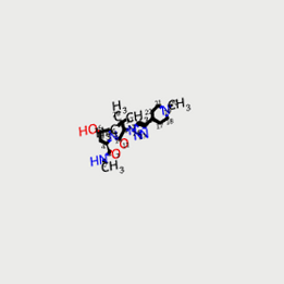 CNC(=O)[C@H]1CC(O)CN1C(=O)C(n1cc(C2CCN(C)CC2)nn1)C(C)(C)C